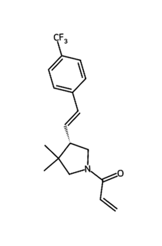 C=CC(=O)N1C[C@@H](/C=C/c2ccc(C(F)(F)F)cc2)C(C)(C)C1